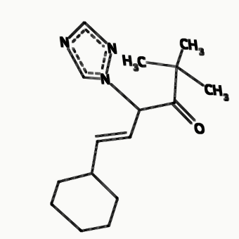 CC(C)(C)C(=O)C(/C=C/C1CCCCC1)n1cncn1